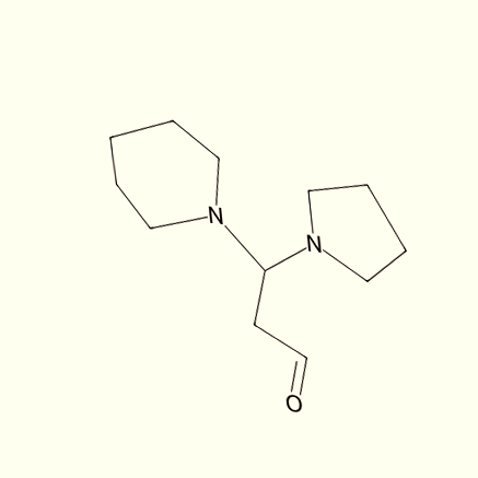 O=CCC(N1CCCCC1)N1CCCC1